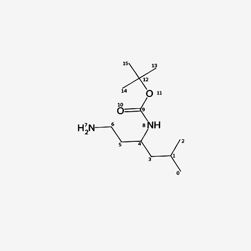 CC(C)CC(CCN)NC(=O)OC(C)(C)C